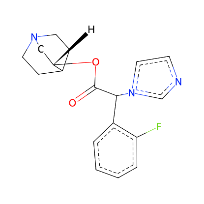 O=C(O[C@H]1CN2CCC1CC2)C(c1ccccc1F)n1ccnc1